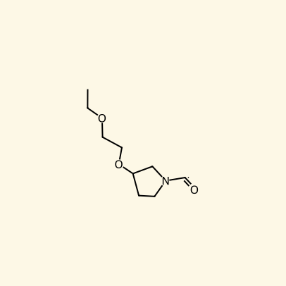 CCOCCOC1CCN([C]=O)C1